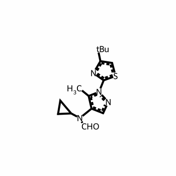 Cc1c(N(C=O)C2CC2)cnn1-c1nc(C(C)(C)C)cs1